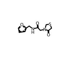 O=C(CN1CSCC1=O)NCc1ccco1